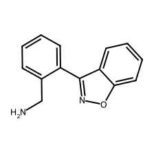 NCc1ccccc1-c1noc2ccccc12